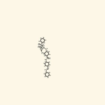 O=S(=O)(NC1C2CCC1Cc1cc(NCc3ccc(OCc4ccccc4)cc3)ccc1C2)c1ccccc1